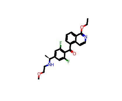 CCOc1nccc2c(C(=O)c3c(F)cc([C@H](C)NCCOC)cc3F)cccc12